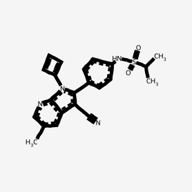 Cc1cnc2c(c1)c(C#N)c(-c1ccc(NS(=O)(=O)C(C)C)cc1)n2C1=CC=C1